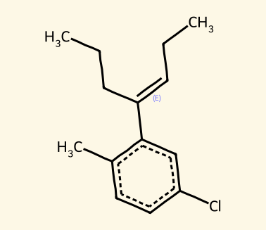 CC/C=C(\CCC)c1cc(Cl)ccc1C